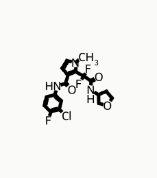 Cn1ccc(C(=O)Nc2ccc(F)c(Cl)c2)c1C(F)(F)C(=O)NC1CCOC1